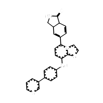 O=C1NCC2C=C(c3ccc(Nc4ccc(-c5cccnc5)cc4)c4nccn34)C=CC12